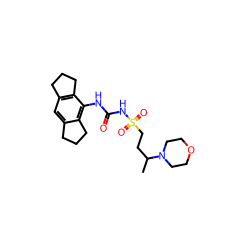 CC(CCS(=O)(=O)NC(=O)Nc1c2c(cc3c1CCC3)CCC2)N1CCOCC1